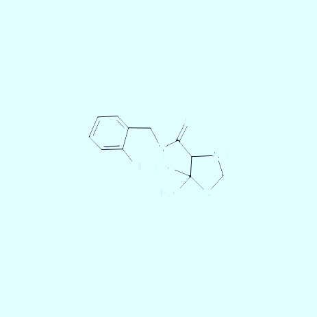 CC1(C)SCNC1C(=O)NCc1ccccc1Cl